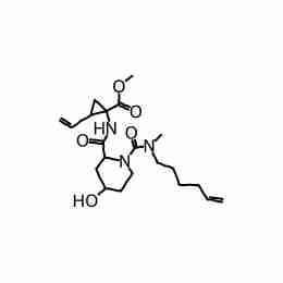 C=CCCCCN(C)C(=O)N1CCC(O)CC1C(=O)NC1(C(=O)OC)CC1C=C